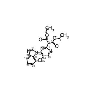 CCOC(=O)C(C(=O)OCC)c1ncc(Cl)c(-n2cnc3ccccc32)n1